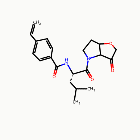 C=Cc1ccc(C(=O)N[C@@H](CC(C)C)C(=O)N2CCC3OCC(=O)C32)cc1